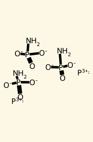 NP(=O)([O-])[O-].NP(=O)([O-])[O-].NP(=O)([O-])[O-].[P+3].[P+3]